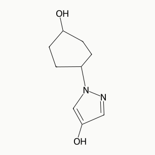 Oc1cnn(C2CCC(O)CC2)c1